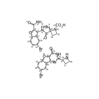 CC(C)(C)[C@]1(C(=O)Nc2c(C(N)=O)oc3ccc(Br)cc23)CCN1C(=O)O.O=c1[nH]c([C@@H]2CCN2)nc2c1oc1ccc(Br)cc12